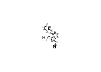 Cc1nc(CC#N)n2cccc(CCc3ccccc3)c12